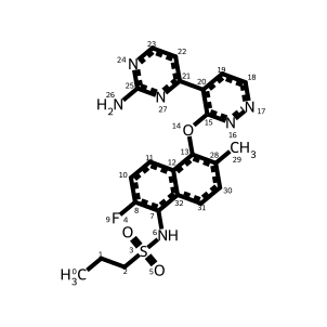 CCCS(=O)(=O)Nc1c(F)ccc2c(Oc3nnccc3-c3ccnc(N)n3)c(C)ccc12